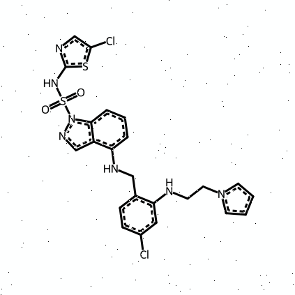 O=S(=O)(Nc1ncc(Cl)s1)n1ncc2c(NCc3ccc(Cl)cc3NCCn3cccc3)cccc21